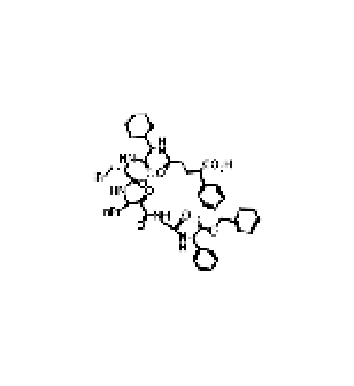 CCCC(NC(=O)[C@H](CC(C)C)NC(=O)[C@@H](NC(=O)CCC(C(=O)O)c1ccccc1)C1CCCCC1)C(=O)C(=O)NCC(=O)N[C@H](C(=O)OCc1ccccc1)c1ccccc1